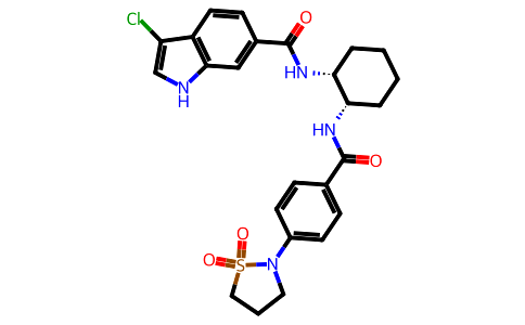 O=C(N[C@H]1CCCC[C@H]1NC(=O)c1ccc2c(Cl)c[nH]c2c1)c1ccc(N2CCCS2(=O)=O)cc1